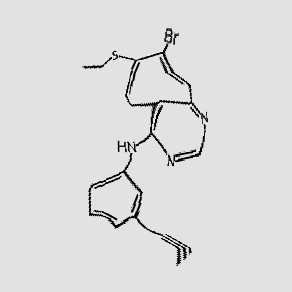 C#Cc1cccc(Nc2ncnc3cc(Br)c(SC)cc23)c1